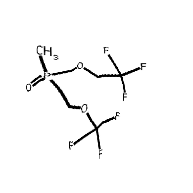 CP(=O)(COC(F)(F)F)OCC(F)(F)F